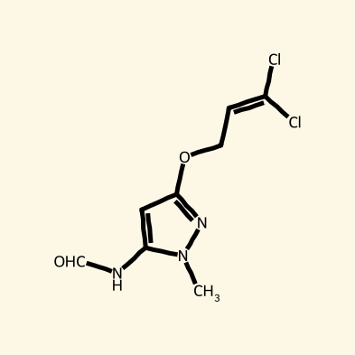 Cn1nc(OCC=C(Cl)Cl)cc1NC=O